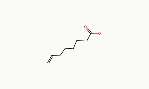 C=CCCCCCC([O])=O